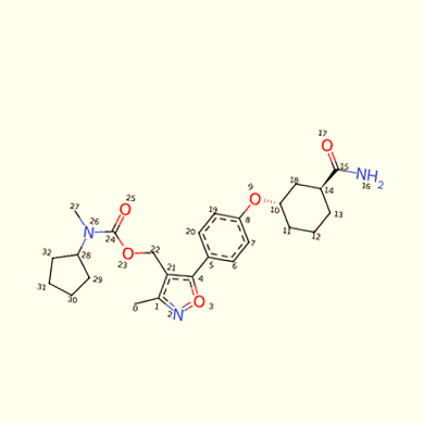 Cc1noc(-c2ccc(O[C@H]3CCC[C@H](C(N)=O)C3)cc2)c1COC(=O)N(C)C1CCCC1